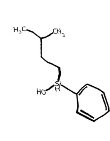 CC(C)CC[SiH](O)c1ccccc1